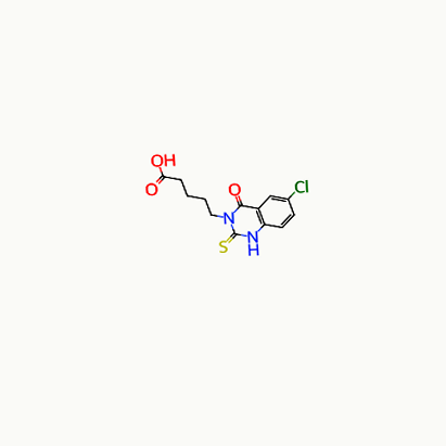 O=C(O)CCCCn1c(=S)[nH]c2ccc(Cl)cc2c1=O